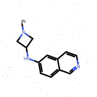 CC(C)N1CC(Nc2ccc3cnccc3c2)C1